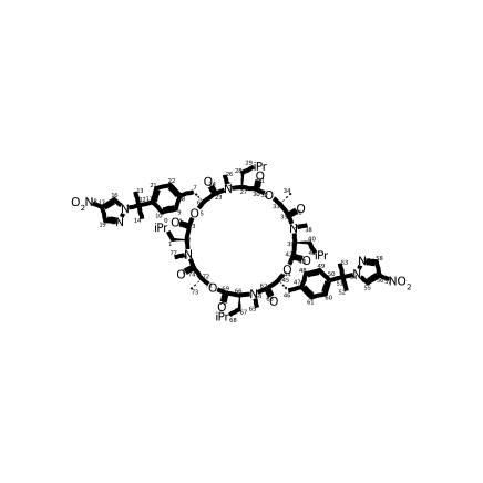 CC(C)C[C@H]1C(=O)O[C@H](Cc2ccc(C(C)(C)n3cc([N+](=O)[O-])cn3)cc2)C(=O)N(C)[C@@H](CC(C)C)C(=O)O[C@H](C)C(=O)N(C)[C@@H](CC(C)C)C(=O)O[C@H](Cc2ccc(C(C)(C)n3cc([N+](=O)[O-])cn3)cc2)C(=O)N(C)[C@@H](CC(C)C)C(=O)O[C@H](C)C(=O)N1C